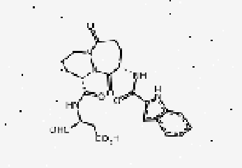 O=C[C@H](CC(=O)O)NC(=O)[C@@H]1CCCN2C(=O)CC[C@H](NC(=O)c3cc4ccccc4[nH]3)C(=O)N12